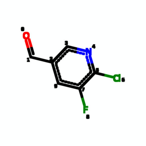 O=Cc1cnc(Cl)c(F)c1